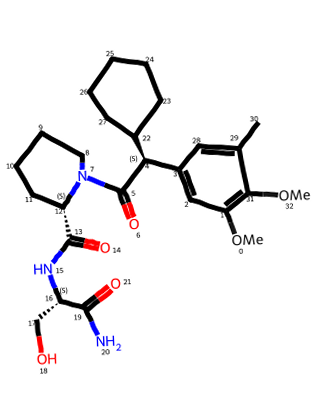 COc1cc([C@@H](C(=O)N2CCCC[C@H]2C(=O)N[C@@H](CO)C(N)=O)C2CCCCC2)cc(C)c1OC